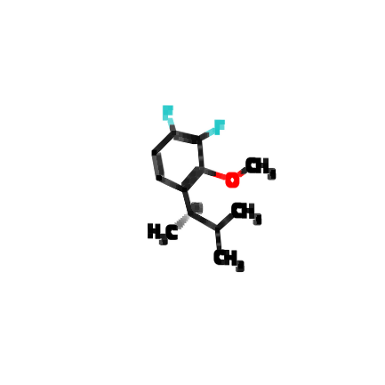 COc1c([C@@H](C)C(C)C)ccc(F)c1F